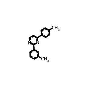 Cc1ccc(-c2ccnc(-c3cccc(C)c3)n2)cc1